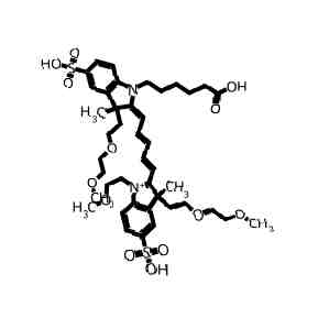 COCCOCCC1(C)C(/C=C/C=C/C=C2/N(CCCCCC(=O)O)c3ccc(S(=O)(=O)O)cc3C2(C)CCOCCOC)=[N+](CCOC)c2ccc(S(=O)(=O)O)cc21